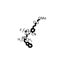 COCCOC(=O)CCc1ccc(C#N)c(OC[C@@H](CNC(C)(C)CC2Cc3ccccc3C2)OC(=O)C(F)(F)F)c1